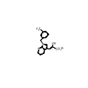 N#C/C(=C\c1cn(Cc2cccc(C(F)(F)F)c2)c2ncccc12)C(=O)O